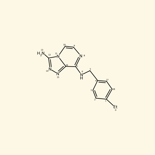 CCc1ccc(CNc2nccn3c(N)nnc23)cc1